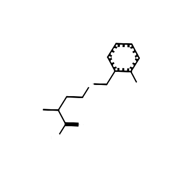 CC(CCOCc1ccccc1Cl)C(=O)O